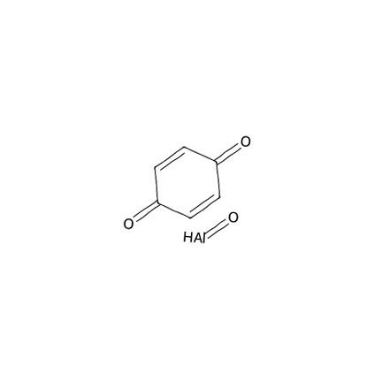 O=C1C=CC(=O)C=C1.[O]=[AlH]